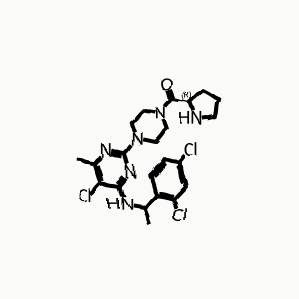 Cc1nc(N2CCN(C(=O)[C@H]3CCCN3)CC2)nc(NC(C)c2ccc(Cl)cc2Cl)c1Cl